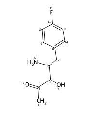 CC(=O)C(O)C(N)Cc1ccc(F)cc1